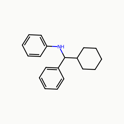 c1ccc(NC(c2ccccc2)C2CCCCC2)cc1